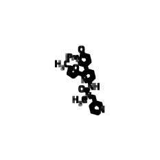 Cc1ccc(-c2nc(NC(=O)N(C)Cc3cccnc3)ccc2-c2ccc(=O)n(C(C)C)c2)o1